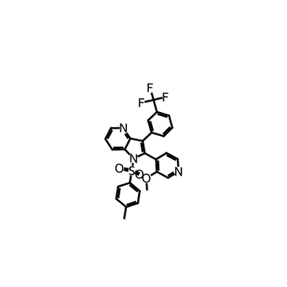 COc1cnccc1-c1c(-c2cccc(C(F)(F)F)c2)c2ncccc2n1S(=O)(=O)c1ccc(C)cc1